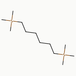 CS(C)(C)CCCCCCS(C)(C)C